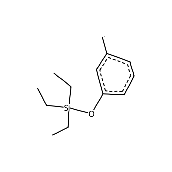 [CH2]c1cccc(O[Si](CC)(CC)CC)c1